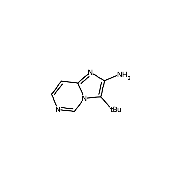 CC(C)(C)c1c(N)nc2ccncn12